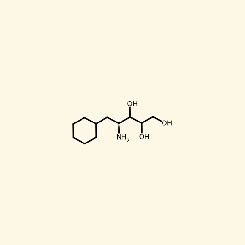 N[C@@H](CC1CCCCC1)C(O)C(O)CO